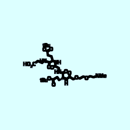 CNCCOCCOCC(=O)N[C@H](CCC(=O)OC(C)(C)C)C(=O)NCC(=O)NC(CCC(=O)OC(C)(C)C)C(=O)NCCC(=O)O